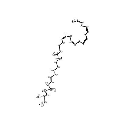 CC/C=C\C/C=C\C/C=C\C/C=C\C/C=C\CCCC(=O)NCCSSCCOC(=O)NCC(O)CO